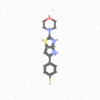 Fc1ccc(-c2cc3sc(N4CCOCC4)nc3[nH]2)cc1